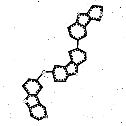 c1cc2sc3ccc(Oc4ccc5oc6ccc(-c7ccc8sc9ccncc9c8c7)cc6c5c4)cc3c2cn1